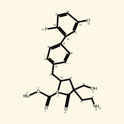 CC(C)(C)OC(=O)N1C(=O)C(CO)(CCN)CC1Cc1ccc(-c2cc(Cl)ccc2F)cc1